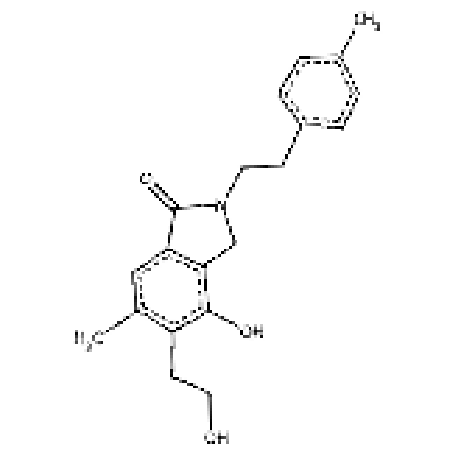 Cc1ccc(CCN2Cc3c(cc(C)c(CCO)c3O)C2=O)cc1